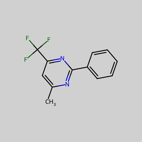 Cc1cc(C(F)(F)F)nc(-c2ccccc2)n1